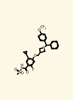 CS(=O)(=O)NC(=O)c1cc(C2CC2)c(OCC2CN(C(c3ccccc3)c3ccc(OC(F)(F)F)cc3)C2)cc1F